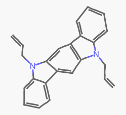 C=CCn1c2ccccc2c2cc3c(cc21)c1ccccc1n3CC=C